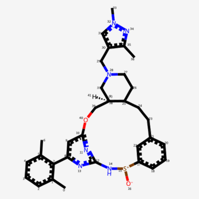 Cc1cccc(C)c1-c1cc2nc(n1)N[S+]([O-])c1cccc(c1)CCC1CCN(Cc3cn(C)nc3C)C[C@@H]1CO2